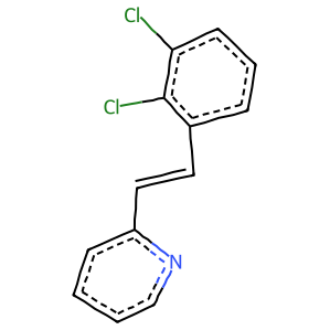 Clc1cccc(/C=C/c2ccccn2)c1Cl